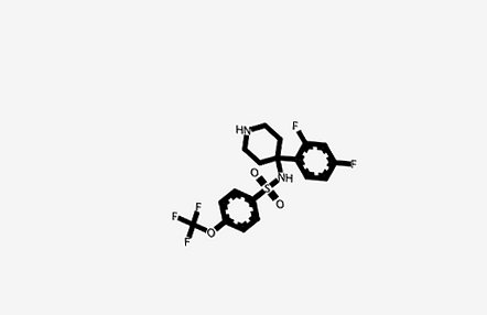 O=S(=O)(NC1(c2ccc(F)cc2F)CCNCC1)c1ccc(OC(F)(F)F)cc1